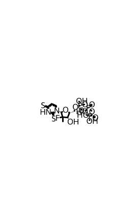 CC1(F)[C@@H](O)[C@@H](COP(=O)(O)OP(=O)(O)OP(=O)(O)O)O[C@H]1n1ccc(=S)[nH]c1=S